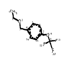 CCOCc1ccc(OC(F)(F)F)cc1